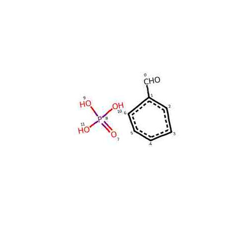 O=Cc1ccccc1.O=P(O)(O)O